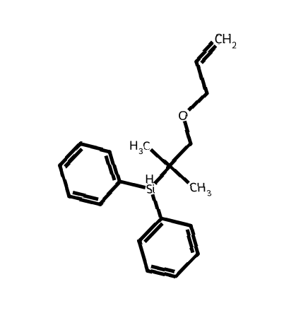 C=CCOCC(C)(C)[SiH](c1ccccc1)c1ccccc1